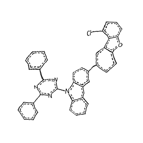 Clc1cccc2oc3ccc(-c4ccc5c(c4)c4ccccc4n5-c4nc(-c5ccccc5)nc(-c5ccccc5)n4)cc3c12